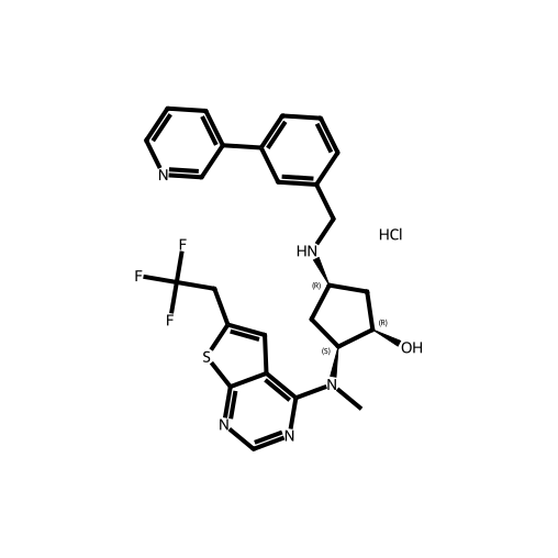 CN(c1ncnc2sc(CC(F)(F)F)cc12)[C@H]1C[C@@H](NCc2cccc(-c3cccnc3)c2)C[C@H]1O.Cl